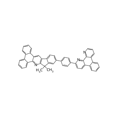 CC1(C)c2cc(-c3ccc(-c4ccc5c6ccccc6c6cccnc6c5n4)cc3)ccc2-c2cc3c4ccccc4c4ccccc4c3nc21